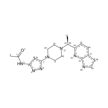 CC(=O)Nc1nnc(N2CCN([C@@H](C)c3ccc4scnc4n3)CC2)s1